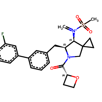 C=[N+]([C@@H]1[C@H](Cc2cccc(-c3cccc(F)c3)c2)N(C(=O)[C@H]2CCO2)CC12CC2)S(C)(=O)=O